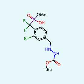 COP(=O)(O)C(F)(F)c1ccc(CNNC(=O)OC(C)(C)C)cc1Br